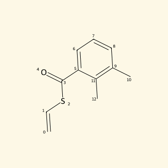 C=CSC(=O)c1cccc(C)c1C